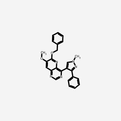 COc1cc2ncnc(-c3cn(C)nc3-c3ccccc3)c2nc1OCc1ccccc1